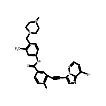 Cc1ccc(C(=O)Nc2ccc(CN3CCN(C)CC3)c(C(F)(F)F)c2)cc1C#Cc1cnc2c(S)ccnn12